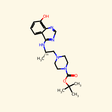 C[C@@H](CN1CCN(C(=O)OC(C)(C)C)CC1)Nc1ncnc2c(O)cccc12